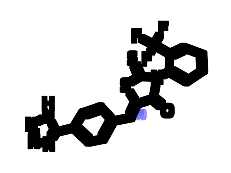 O=C1/C(=C/c2ccc(-c3nnn[nH]3)cc2)SC(=S)N1c1ccccc1C(F)(F)F